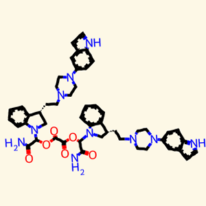 NC(=O)C(OC(=O)C(=O)OC(C(N)=O)N1C[C@@H](CCN2CCN(c3ccc4[nH]ccc4c3)CC2)c2ccccc21)N1C[C@@H](CCN2CCN(c3ccc4[nH]ccc4c3)CC2)c2ccccc21